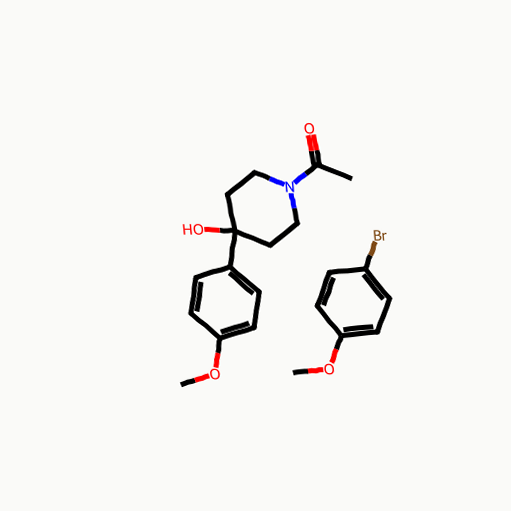 COc1ccc(Br)cc1.COc1ccc(C2(O)CCN(C(C)=O)CC2)cc1